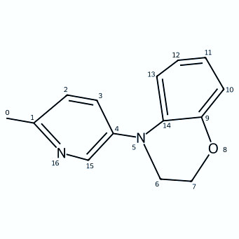 Cc1ccc(N2CCOc3ccccc32)cn1